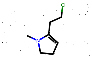 CN1CCC=C1CCCl